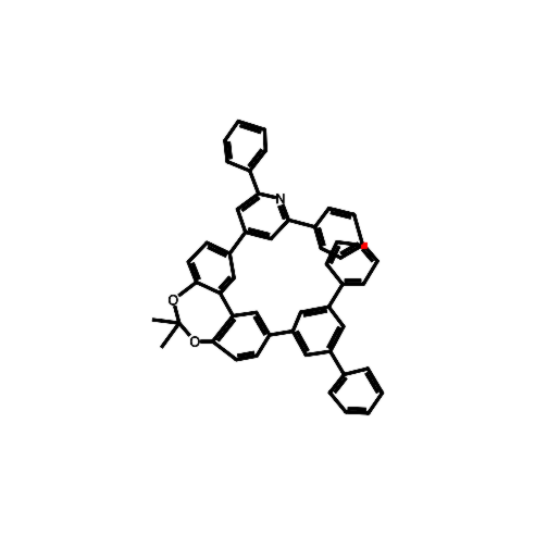 CC1(C)Oc2ccc(-c3cc(-c4ccccc4)cc(-c4ccccc4)c3)cc2-c2cc(-c3cc(-c4ccccc4)nc(-c4ccccc4)c3)ccc2O1